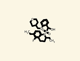 CCc1ccc2c(c1F)CCC(CC)N2S(=O)(=O)C(O)c1ccccc1OCC1CCOCC1